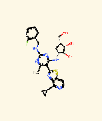 Cc1nc(NCc2ccccc2F)nc(N[C@@H]2C[C@H](CO)[C@@H](O)[C@H]2O)c1-c1nc2c(C3CC3)nccc2s1